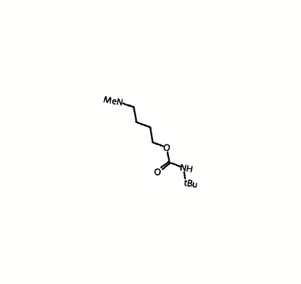 CNCCCCOC(=O)NC(C)(C)C